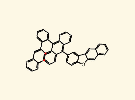 c1ccc(-c2c3ccccc3c(-c3ccc4oc5cc6ccccc6cc5c4c3)c3ccccc23)c(-c2ccc3ccccc3c2)c1